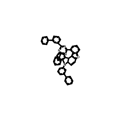 C1=CC2C(c3ccccc3N2c2cccc(-c3ccccc3)c2)c2c1oc1cccc(-c3nc(-c4ccccc4)nc(-c4cccc(-c5ccccc5)c4)n3)c21